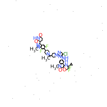 C[C@H](C1CCN(c2ncc(Cl)c(Nc3ccc4c(c3)c3c(c(=O)n4C)OCC(F)(F)[C@H](C4CC4)N3)n2)CC1)N1CCC(c2c(F)cc3c(C4CCC(=O)NC4=O)nn(C)c3c2F)CC1